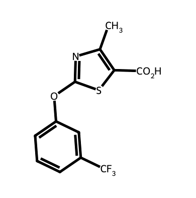 Cc1nc(Oc2cccc(C(F)(F)F)c2)sc1C(=O)O